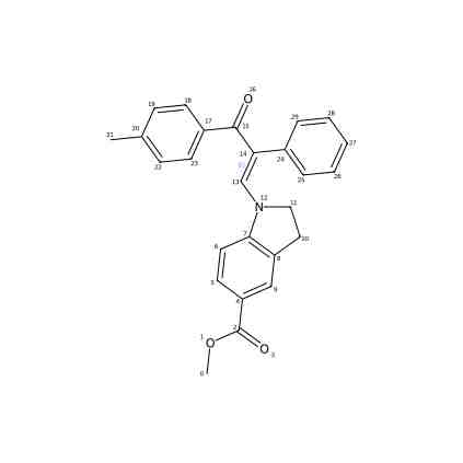 COC(=O)c1ccc2c(c1)CCN2/C=C(/C(=O)c1ccc(C)cc1)c1ccccc1